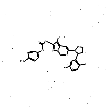 CCOC(=O)c1c(NC(=O)Oc2ccc([N+](=O)[O-])cc2)nn2cnc(N3CCCC3c3cc(F)ccc3F)cc12